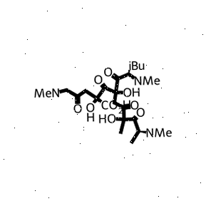 CCC(C)[C@H](NC)C(=O)C(O)(CC(=O)C(C)(O)C(=O)[C@H](C)NC)C(=O)C(O)(CC(=O)CNC)C(=O)O